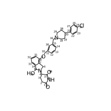 O=C1CCC(N2Cc3c(OCc4cccc(CN5CCC(c6ccc(Cl)cc6)CC5)c4)cccc3C2O)C(=O)N1